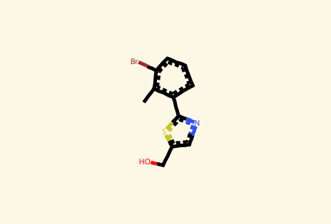 Cc1c(Br)cccc1-c1ncc(CO)s1